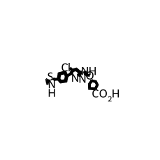 O=C(O)C1CCC(Oc2nc3nc(-c4ccc(C5NC=CS5)cc4)c(Cl)cc3[nH]2)CC1